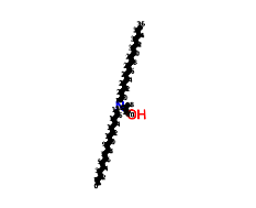 CCCCCCCCCCCCCCCCCCN(CCCCCCCCCCCCCCCCCC)C(C)CO